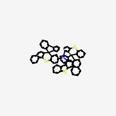 c1ccc2c(c1)Sc1cccc(N(c3ccc4c(c3)C3(c5ccccc5-c5ccccc53)c3ccc5ccccc5c3S4)c3cccc4sc5ccccc5c34)c1[C@@]21c2ccccc2-c2c1ccc1ccccc21